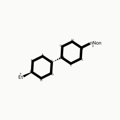 CCCCCCCCCC1CCC([C@H]2CC[C@H](CC)CC2)CC1